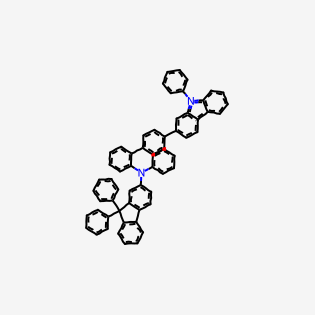 c1ccc(N(c2ccc3c(c2)C(c2ccccc2)(c2ccccc2)c2ccccc2-3)c2ccccc2-c2ccc(-c3ccc4c5ccccc5n(-c5ccccc5)c4c3)cc2)cc1